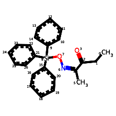 CCC(=O)C(C)=NO[Si](c1ccccc1)(c1ccccc1)c1ccccc1